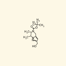 CC1[C@@H](C)N(C(=O)OC(C)(C)C)Cc2cc(CO)nn21